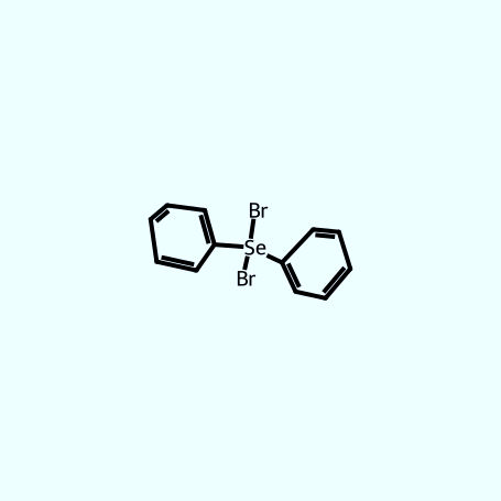 Br[Se](Br)(c1ccccc1)c1ccccc1